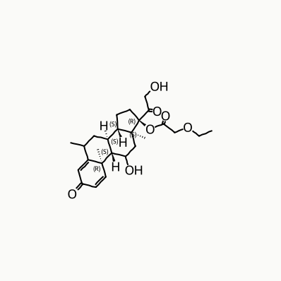 CCOCC(=O)O[C@]1(C(=O)CO)CC[C@H]2[C@@H]3CC(C)C4=CC(=O)C=C[C@]4(C)[C@H]3C(O)C[C@@]21C